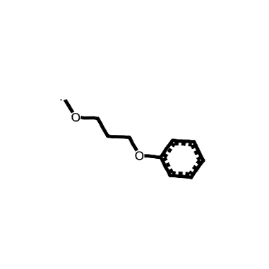 [CH2]OCCCOc1ccccc1